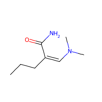 CCCC(=CN(C)C)C(N)=O